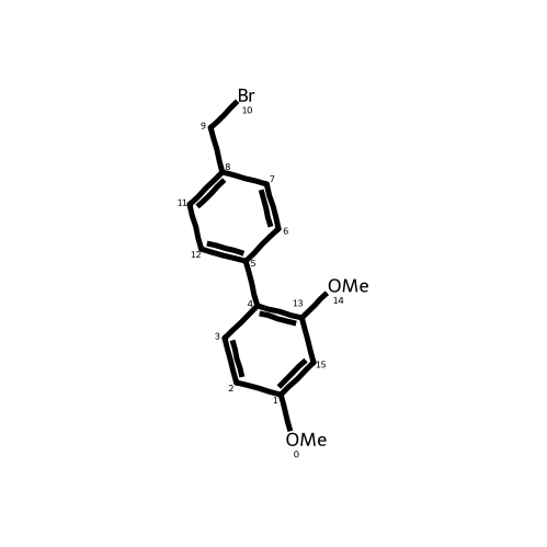 COc1ccc(-c2ccc(CBr)cc2)c(OC)c1